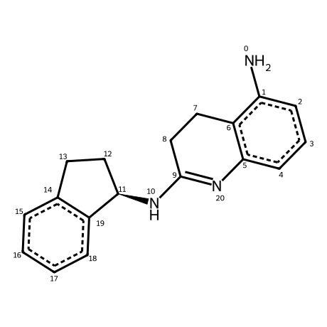 Nc1cccc2c1CCC(N[C@@H]1CCc3ccccc31)=N2